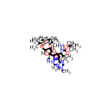 CC(C)[C@H](NC(=O)OC(C)(C)C)C(=O)O[C@@H]1[C@@H]2O[Si](C(C)C)(C(C)C)O[Si](C(C)C)(C(C)C)OC[C@H]2O[C@@]1(C#N)c1ccc2c(/N=C\N(C)C)ncnn12